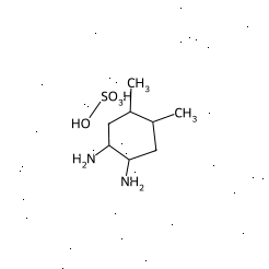 CC1CC(N)C(N)CC1C.O=S(=O)(O)O